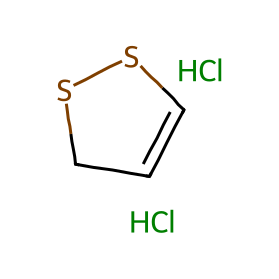 C1=CSSC1.Cl.Cl